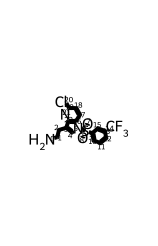 NCCc1cn(S(=O)(=O)c2cccc(C(F)(F)F)c2)c2ccc(Cl)nc12